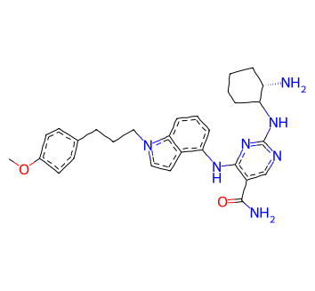 COc1ccc(CCCn2ccc3c(Nc4nc(NC5CCCC[C@@H]5N)ncc4C(N)=O)cccc32)cc1